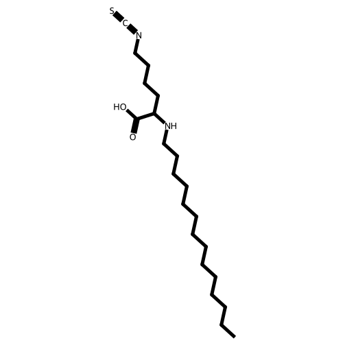 CCCCCCCCCCCCCCNC(CCCCN=C=S)C(=O)O